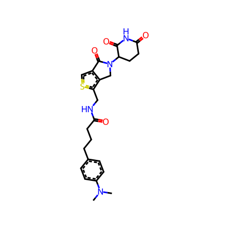 CN(C)c1ccc(CCCC(=O)NCc2scc3c2CN(C2CCC(=O)NC2=O)C3=O)cc1